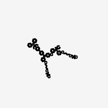 CCC(C)(CC)N(c1cccc(OCCCCOCC2(C)COC2)c1)c1cccc(Oc2ccc(N(c3ccc(-c4ccc(C(CC)(CC)N(c5ccccc5)c5ccccc5)cc4)cc3)c3cccc(OCCCCOCC4(C)COC4)c3)cc2)c1